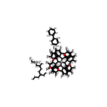 CCCC(CC)CCC(C)C[NH2+]CF.Fc1cc2c(c(F)c1F)-c1c(F)c(F)c(F)c(F)c1C2[B-](C1c2cc(F)c(F)c(F)c2-c2c(F)c(F)c(F)c(F)c21)(C1c2cc(F)c(F)c(F)c2-c2c(F)c(F)c(F)c(F)c21)C1c2cc(F)c(F)c(F)c2-c2c(F)c(F)c(F)c(F)c21.c1ccc(-c2ccccc2)cc1